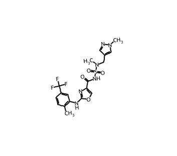 Cc1ccc(C(F)(F)F)cc1Nc1nc(C(=O)NS(=O)(=O)N(C)Cc2cnn(C)c2)co1